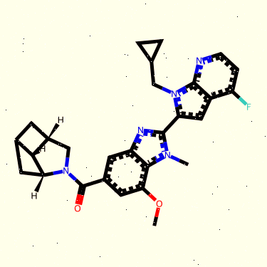 COc1cc(C(=O)N2C[C@H]3CC4C[C@@H]2[C@H]43)cc2nc(-c3cc4c(F)ccnc4n3CC3CC3)n(C)c12